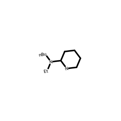 CCCCN(CC)C1CCCC[N]1